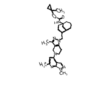 Cc1cc(N2CCc3c(c(C)nn3CC3CCC4(NC(=O)OC5(C)CC5)CCCC3C4)C2)c2cnn(C)c2n1